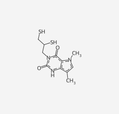 Cc1cn(C)c2c(=O)n(CC(S)CS)c(=O)[nH]c12